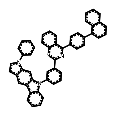 c1ccc(-n2ccc3cc4c5ccccc5n(-c5cccc(-c6nc(-c7ccc(-c8cccc9ccccc89)cc7)c7ccccc7n6)c5)c4cc32)cc1